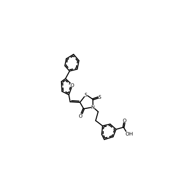 O=C(O)c1cccc(CCN2C(=O)C(=Cc3ccc(-c4ccccc4)o3)SC2=S)c1